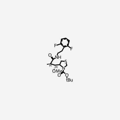 CO[C@@H](C1CSCN1C(=O)OC(C)(C)C)[C@@H](C)C(=O)NCCc1c(F)cccc1F